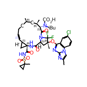 CCC(C)N(C(=O)O)[C@@H]1C(=O)N2[C@@H](C[C@@](C)(Oc3nc4nc(C)cn4c4ccc(Cl)cc34)C2(F)F)C(=O)N[C@]2(C(=O)NS(=O)(=O)C3(C)CC3)C[C@H]2/C=C\CC[C@@H](C)C[C@H]1C